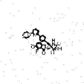 COc1ccc2c(c1F)C(=O)N(C[C@@]1(C#Cc3ccc(-c4cccc(N5CCSCC5)n4)cc3)NC(=O)NC1=O)C2